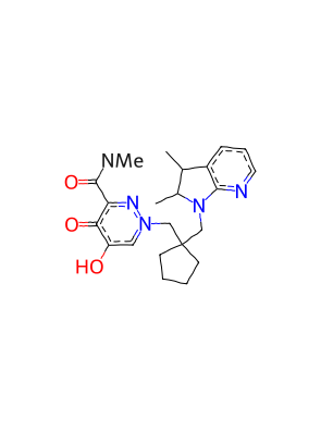 CNC(=O)c1nn(CC2(CN3c4ncccc4C(C)C3C)CCCC2)cc(O)c1=O